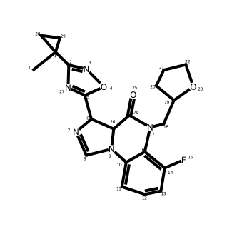 CC1(c2noc(C3N=CN4c5cccc(F)c5N(CC5CCCO5)C(=O)C34)n2)CC1